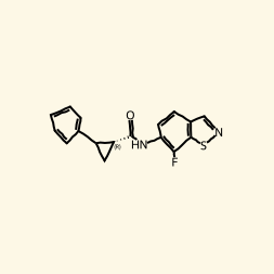 O=C(Nc1ccc2cnsc2c1F)[C@@H]1CC1c1ccccc1